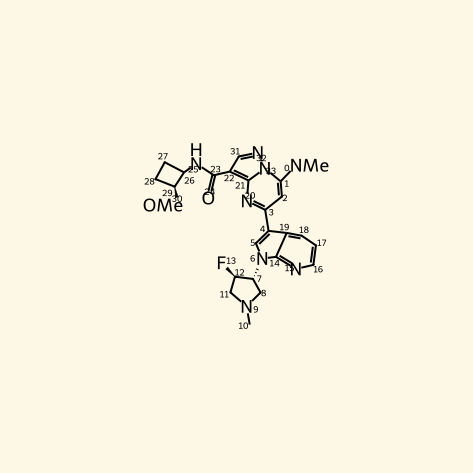 CNc1cc(-c2cn([C@@H]3CN(C)C[C@H]3F)c3ncccc23)nc2c(C(=O)NC3CC[C@@H]3OC)cnn12